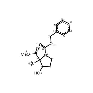 COC(=O)C1(C)C(O)CCN1C(=O)OCc1ccccc1